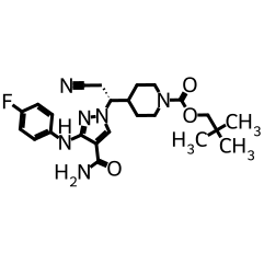 CC(C)(C)COC(=O)N1CCC([C@@H](CC#N)n2cc(C(N)=O)c(Nc3ccc(F)cc3)n2)CC1